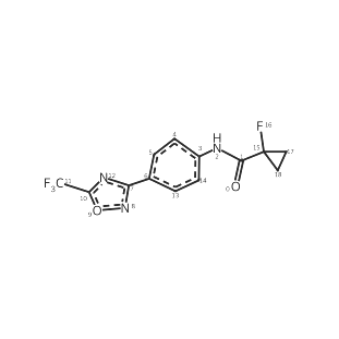 O=C(Nc1ccc(-c2noc(C(F)(F)F)n2)cc1)C1(F)CC1